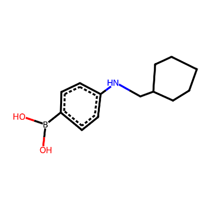 OB(O)c1ccc(NCC2CCCCC2)cc1